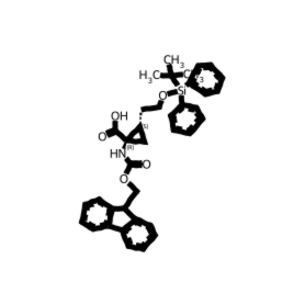 CC(C)(C)[Si](OCC[C@@H]1C[C@]1(NC(=O)OCC1c2ccccc2-c2ccccc21)C(=O)O)(c1ccccc1)c1ccccc1